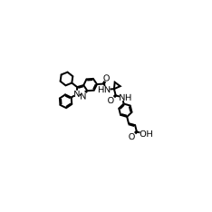 O=C(O)/C=C/c1ccc(NC(=O)C2(NC(=O)c3ccc4c(C5CCCCC5)n(-c5ccccc5)nc4c3)CC2)cc1